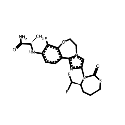 C[C@H](Nc1ccc2c(c1F)OCCn1cc(N3C(=O)SCCC[C@H]3C(F)F)nc1-2)C(N)=O